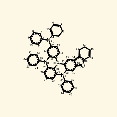 C1=CCCC(N(c2ccccc2)c2ccc3c(c2)N(c2ccccc2)c2cccc4c2B3c2cc3c5c(oc3cc2N4c2ccccc2)C=CCC5)=C1